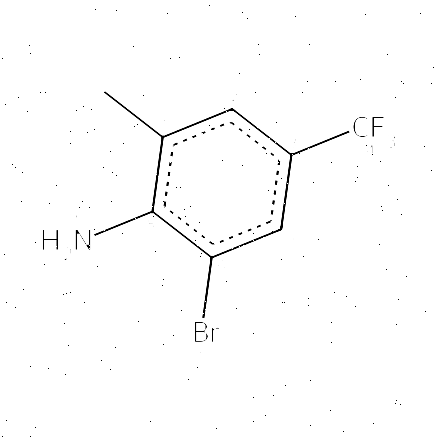 Cc1cc(C(F)(F)F)cc(Br)c1N